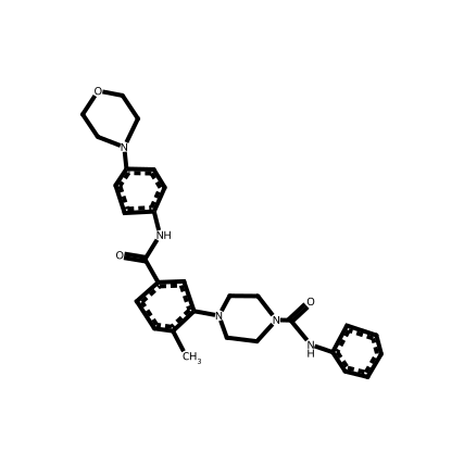 Cc1ccc(C(=O)Nc2ccc(N3CCOCC3)cc2)cc1N1CCN(C(=O)Nc2ccccc2)CC1